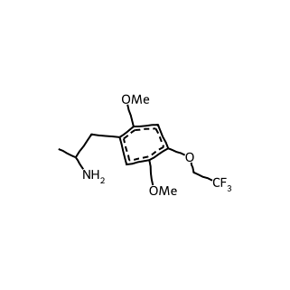 COc1cc(OCC(F)(F)F)c(OC)cc1CC(C)N